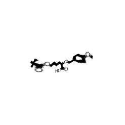 COc1ccc(COC(C/C=C/COC(=O)C(C)(C)C)C(=O)O)cc1